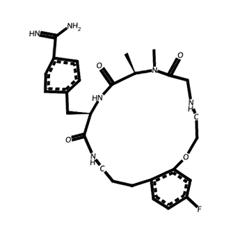 C[C@@H]1C(=O)N[C@H](Cc2ccc(C(=N)N)cc2)C(=O)NCCCc2ccc(F)cc2OCCNCC(=O)N1C